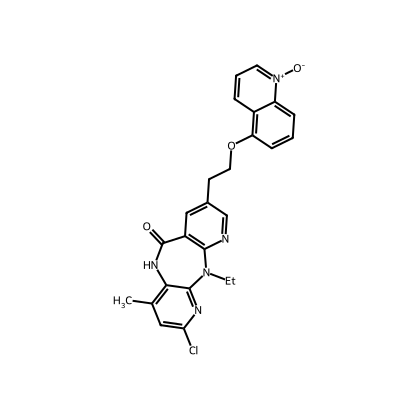 CCN1c2ncc(CCOc3cccc4c3ccc[n+]4[O-])cc2C(=O)Nc2c(C)cc(Cl)nc21